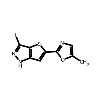 Cc1cnc(-c2cc3[nH]nc(I)c3s2)o1